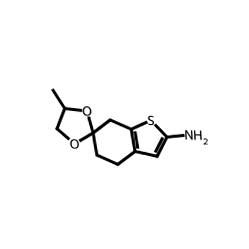 CC1COC2(CCc3cc(N)sc3C2)O1